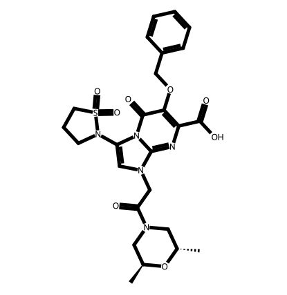 C[C@H]1CN(C(=O)Cn2cc(N3CCCS3(=O)=O)n3c(=O)c(OCc4ccccc4)c(C(=O)O)nc23)C[C@H](C)O1